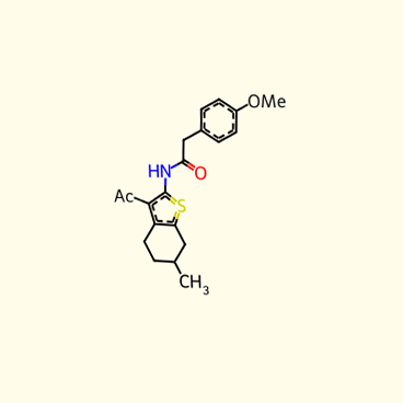 COc1ccc(CC(=O)Nc2sc3c(c2C(C)=O)CCC(C)C3)cc1